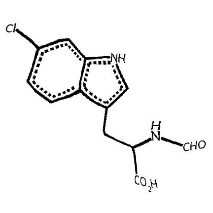 O=CNC(Cc1c[nH]c2cc(Cl)ccc12)C(=O)O